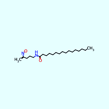 C=C(CCCNC(=O)CCCCCCCCCCCCCCC)N=O